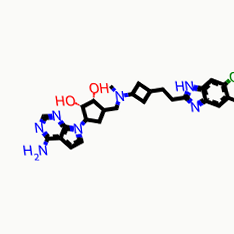 Cc1cc2nc(CCC3CC(N(C)CC4CC(n5ccc6c(N)ncnc65)[C@H](O)[C@@H]4O)C3)[nH]c2cc1Cl